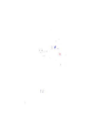 COC(=O)C12CC3CC(C1)C(NC(=O)C(C)(C)c1ccc(-c4ccc(C(F)(F)F)cn4)cc1)C(C3)C2